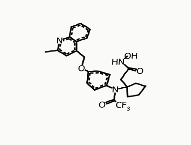 Cc1cc(COc2ccc(N(C(=O)C(F)(F)F)C3(CC(=O)NO)CCCC3)cc2)c2ccccc2n1